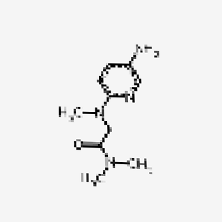 CN(C)C(=O)CN(C)c1ccc(N)cn1